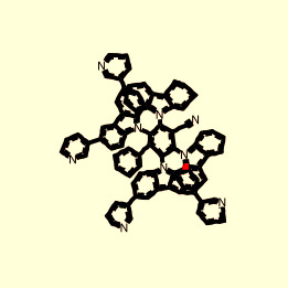 N#Cc1c(-n2c3ccccc3c3ccccc32)c(-n2c3ccc(-c4cccnc4)cc3c3cc(-c4cccnc4)ccc32)c(-c2ccccc2)c(-n2c3ccc(-c4cccnc4)cc3c3cc(-c4cccnc4)ccc32)c1-n1c2ccccc2c2ccccc21